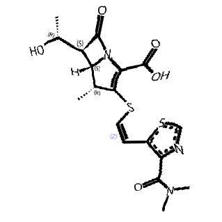 C[C@@H](O)[C@H]1C(=O)N2C(C(=O)O)=C(S/C=C\c3scnc3C(=O)N(C)C)[C@H](C)[C@H]12